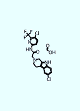 O=C(CN1CCc2c([nH]c3ccc(Cl)cc23)C1)Nc1ccc(Cl)c(C(F)(F)F)n1.O=CO